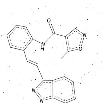 Cc1oncc1C(=O)Nc1ccccc1/C=C/c1n[nH]c2ccccc12